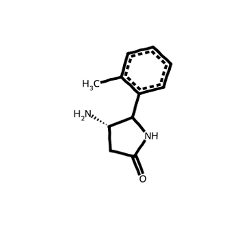 Cc1ccccc1C1NC(=O)C[C@@H]1N